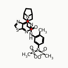 Cc1ccc(N(S(C)(=O)=O)S(C)(=O)=O)cc1NC(=O)CN1CC2CCC(C1)N2c1ncnc2scnc12